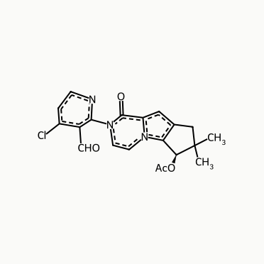 CC(=O)O[C@H]1c2c(cc3c(=O)n(-c4nccc(Cl)c4C=O)ccn23)CC1(C)C